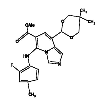 COC(=O)c1cc(C2OCC(C)(C)CO2)c2cncn2c1Nc1ccc(C)cc1F